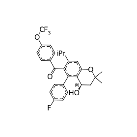 CC(C)c1cc2c(c(-c3ccc(F)cc3)c1C(=O)c1ccc(OC(F)(F)F)cc1)[C@H](O)CC(C)(C)O2